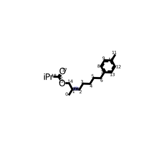 C/C(=C/CCCCc1ccc(C)cc1)COC(=O)C(C)C